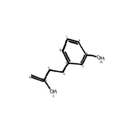 C=C(O)CCc1cccc(O)c1